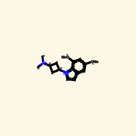 COc1cc(OC)c2c(ccn2C2CC(N(C)C)C2)c1